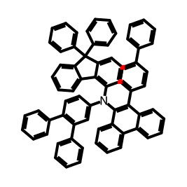 c1ccc(-c2ccc(-c3c(N(c4ccc(-c5ccccc5)c(-c5ccccc5)c4)c4cccc5c4-c4ccccc4C5(c4ccccc4)c4ccccc4)c4ccccc4c4ccccc34)cc2)cc1